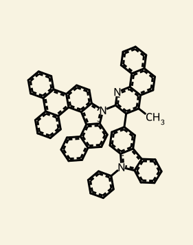 Cc1c(-c2ccc3c(c2)c2ccccc2n3-c2ccccc2)c(-n2c3ccc4ccccc4c3c3c4c5ccccc5c5ccccc5c4ccc32)nc2c1ccc1ccccc12